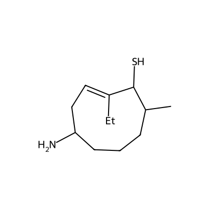 CC/C1=C\CC(N)CCCC(C)C1S